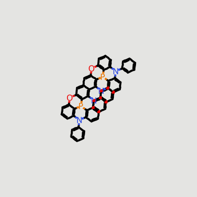 c1ccc(-n2c3cccc4oc5cc6cc7oc8cccc9c8p8c%10c(cccc%10n(-c%10ccccc%10)c(c6c6c5p(c43)c3c2cccc3n6-c2ccccc2)c78)n9-c2ccccc2)cc1